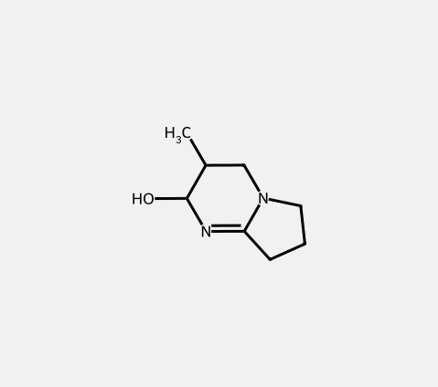 CC1CN2CCCC2=NC1O